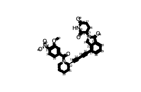 COc1cc(C(=O)N2CCCC[C@@H]2C#CC#Cc2cccc3c2CN(C2CCC(=O)NC2=O)C3=O)ccc1[N+](=O)[O-]